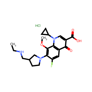 CCNCC1CCN(c2c(F)cc3c(=O)c(C(=O)O)cn(C4CC4)c3c2OC)C1.Cl